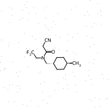 C[C@H]1CC[C@H](CN(CC(F)(F)F)C(=O)CC#N)CC1